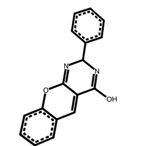 OC1=NC(c2ccccc2)N=C2Oc3ccccc3C=C12